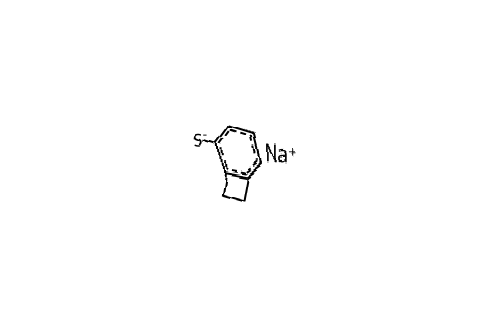 [Na+].[S-]c1cccc2c1CC2